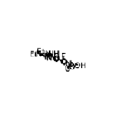 CCN(CC)CCCN1N=C(c2ccc(-c3ccc(N4C[C@H](CO)OC4=O)cc3F)cn2)NN1